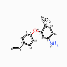 C=Cc1ccc(Oc2cc(N)ccc2[N+](=O)[O-])cc1